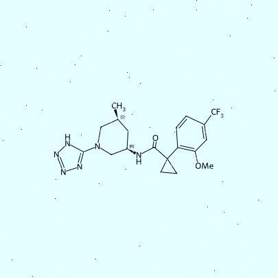 COc1cc(C(F)(F)F)ccc1C1(C(=O)N[C@@H]2C[C@H](C)CN(c3nnn[nH]3)C2)CC1